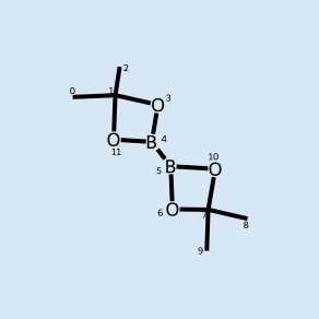 CC1(C)OB(B2OC(C)(C)O2)O1